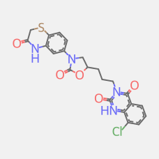 O=C1CSc2ccc(N3CC(CCCn4c(=O)[nH]c5c(Cl)cccc5c4=O)OC3=O)cc2N1